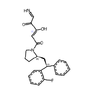 N=CC(=O)/C(O)=C/C(=O)N1CCC[C@@H]1C[C@@H](c1ccccc1)c1ccccc1F